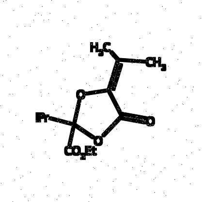 CCOC(=O)C1(C(C)C)OC(=O)C(=C(C)C)O1